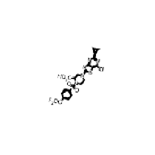 O=C(O)[C@H]1CN(c2nc3nc(C4CC4)nc(Cl)c3s2)CCN1S(=O)(=O)c1ccc(OC(F)(F)F)cc1